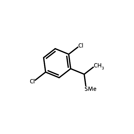 CSC(C)c1cc(Cl)ccc1Cl